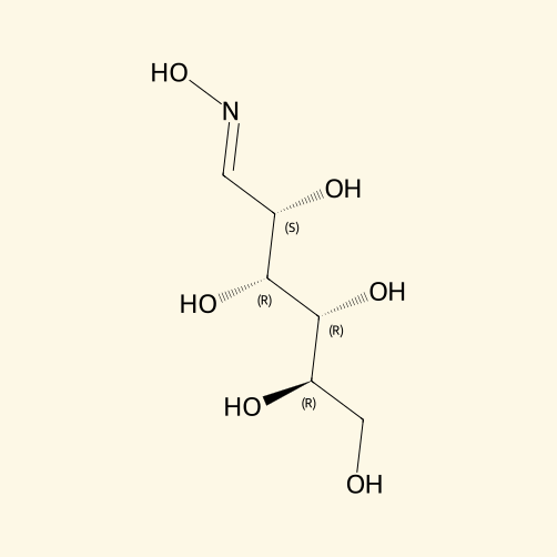 OC[C@@H](O)[C@@H](O)[C@H](O)[C@@H](O)C=NO